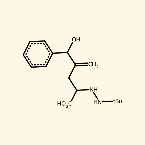 C=C(CC(NNC(C)(C)C)C(=O)O)C(O)c1ccccc1